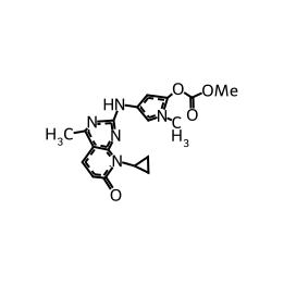 COC(=O)Oc1cc(Nc2nc(C)c3ccc(=O)n(C4CC4)c3n2)cn1C